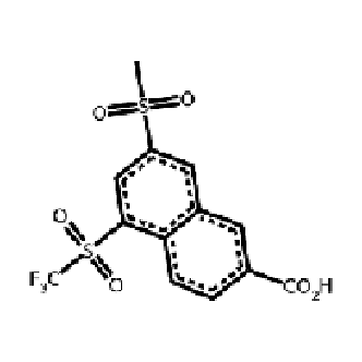 CS(=O)(=O)c1cc(S(=O)(=O)C(F)(F)F)c2ccc(C(=O)O)cc2c1